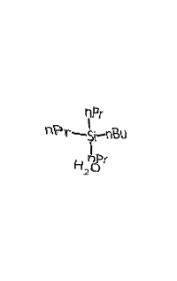 CCCC[Si](CCC)(CCC)CCC.O